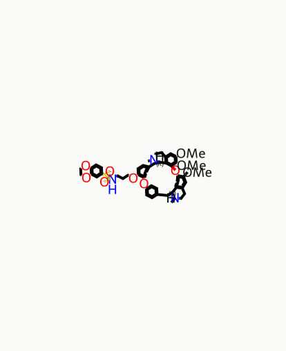 COc1cc2c3cc1Oc1c(OC)c(OC)cc4c1[C@@H](Cc1ccc(OCCCNS(=O)(=O)c5ccc6c(c5)OCCO6)c(c1)Oc1ccc(cc1)C[C@@H]3N(C)CC2)N(C)CC4